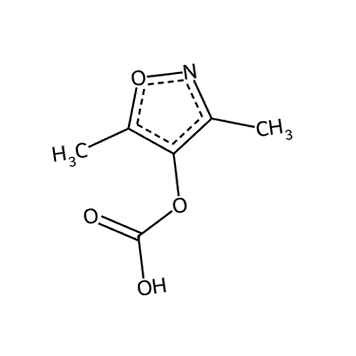 Cc1noc(C)c1OC(=O)O